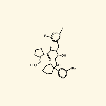 CC(C)(C)c1cccc(C2(NC[C@H](O)[C@H](Cc3cc(F)cc(F)c3)NC(=O)C3CCCN3CC(=O)O)CCCCC2)c1